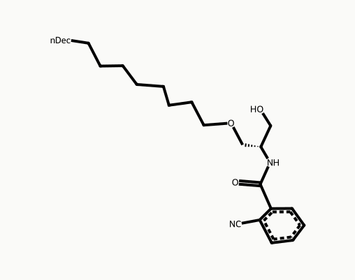 CCCCCCCCCCCCCCCCCCOC[C@H](CO)NC(=O)c1ccccc1C#N